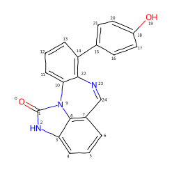 O=c1[nH]c2cccc3c2n1-c1cccc(-c2ccc(O)cc2)c1N=C3